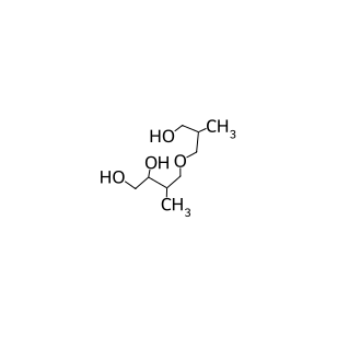 CC(CO)COCC(C)C(O)CO